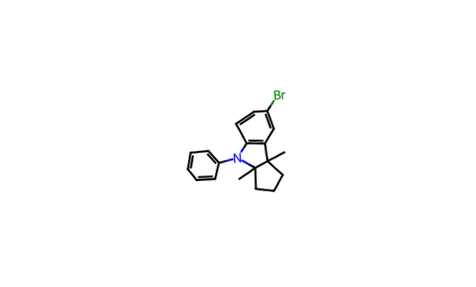 CC12CCCC1(C)N(c1ccccc1)c1ccc(Br)cc12